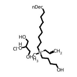 C=CC[N+](C)(CCCCO)CCCCCCCCCCCCCCCCCC.OCC(O)CO.[Cl-]